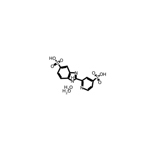 O.O.O=S(=O)(O)c1ccnc(-c2nc3cc(S(=O)(=O)O)ccc3[nH]2)c1